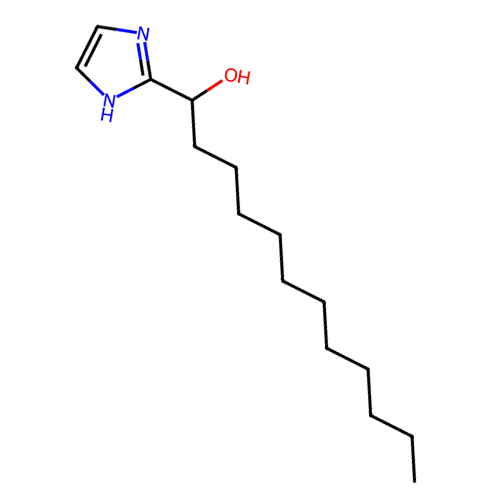 CCCCCCCCCCCC(O)c1ncc[nH]1